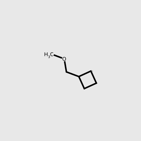 COCC1[CH]CC1